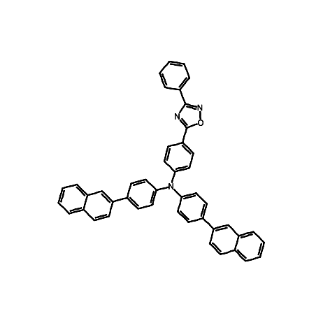 c1ccc(-c2noc(-c3ccc(N(c4ccc(-c5ccc6ccccc6c5)cc4)c4ccc(-c5ccc6ccccc6c5)cc4)cc3)n2)cc1